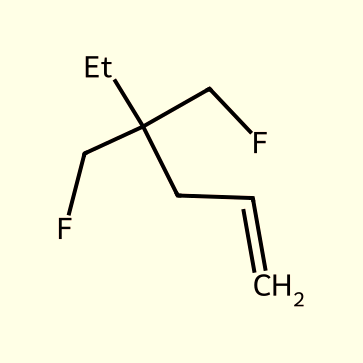 C=CCC(CC)(CF)CF